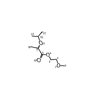 COCCOC(=O)C(C)OC(C)C